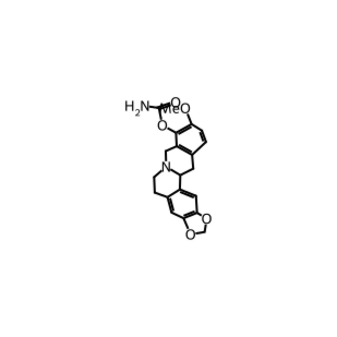 COc1ccc2c(c1OC(N)=O)CN1CCc3cc4c(cc3C1C2)OCO4